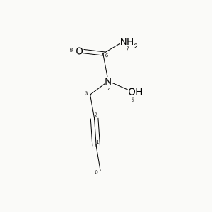 CC#CCN(O)C(N)=O